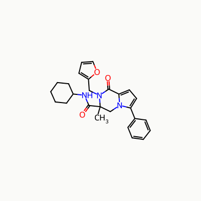 CC1(C(=O)NC2CCCCC2)Cn2c(ccc2-c2ccccc2)C(=O)N1Cc1ccco1